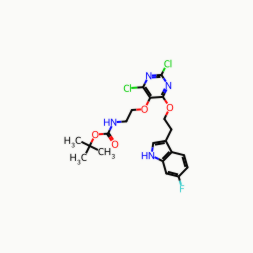 CC(C)(C)OC(=O)NCCOc1c(Cl)nc(Cl)nc1OCCc1c[nH]c2cc(F)ccc12